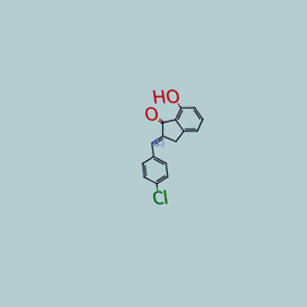 O=C1/C(=C/c2ccc(Cl)cc2)Cc2cccc(O)c21